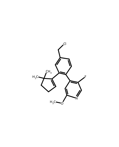 COc1cc(-c2ccc(CCl)cc2C2=CCCC2(C)C)c(F)cn1